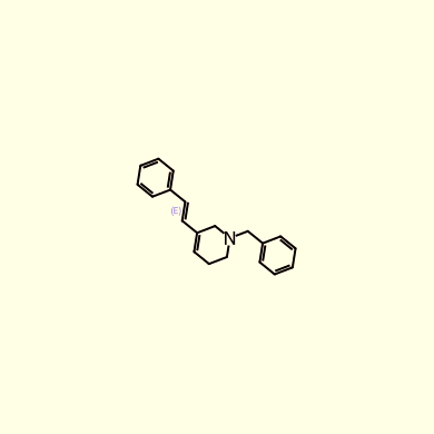 C1=C(/C=C/c2ccccc2)CN(Cc2ccccc2)CC1